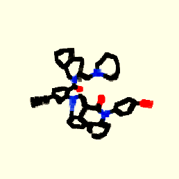 COc1ccc(C(=O)N2Cc3ccccc3C[C@H]2CN2CCCCC2)c(-n2cc(C(=O)N(c3ccccc3)c3ccc(O)cc3)c3ccccc32)c1